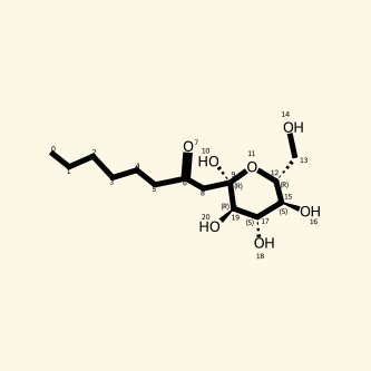 CCCCCCC(=O)C[C@@]1(O)O[C@H](CO)[C@@H](O)[C@H](O)[C@H]1O